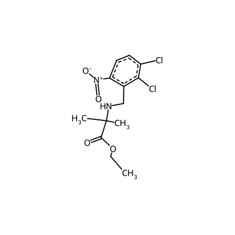 CCOC(=O)C(C)(C)NCc1c([N+](=O)[O-])ccc(Cl)c1Cl